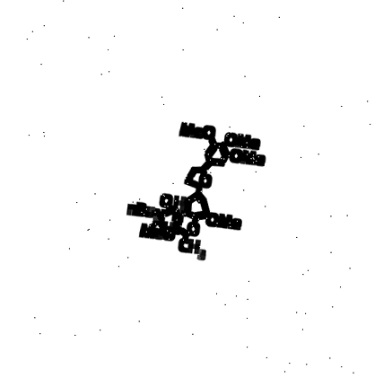 CCCCN(O)C(=O)Nc1cc(C2CCC(c3cc(OC)c(OC)c(OC)c3)O2)cc(OC)c1OC(C)SOC